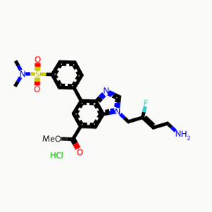 COC(=O)c1cc(-c2cccc(S(=O)(=O)N(C)C)c2)c2ncn(C/C(F)=C/CN)c2c1.Cl